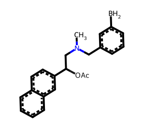 Bc1cccc(CN(C)CC(OC(C)=O)c2ccc3ccccc3c2)c1